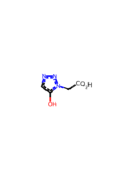 O=C(O)Cn1nncc1O